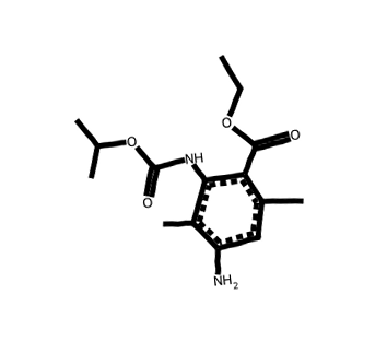 CCOC(=O)c1c(C)cc(N)c(C)c1NC(=O)OC(C)C